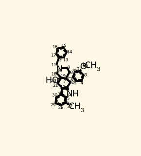 COc1cccc([C@@]23CCN(Cc4ccccc4)C[C@@]2(O)Cc2c([nH]c4c(C)cccc24)C3)c1